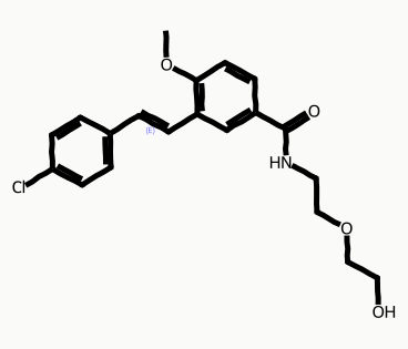 COc1ccc(C(=O)NCCOCCO)cc1/C=C/c1ccc(Cl)cc1